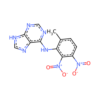 Cc1ccc([N+](=O)[O-])c([N+](=O)[O-])c1Nc1ncnc2[nH]cnc12